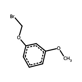 COc1cccc(OCBr)c1